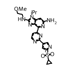 COCCNc1nc2c(-c3ccnc(-c4cnn(S(=O)(=O)C5CC5)c4)n3)nc(N)cc2n1C(C)C